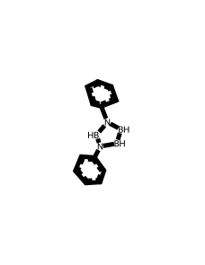 B1BN(c2ccccc2)BN1c1ccccc1